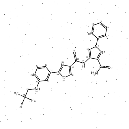 NC(=O)c1nn(-c2ccccn2)cc1NC(=O)c1coc(-c2ccnc(NCC(F)(F)F)c2)n1